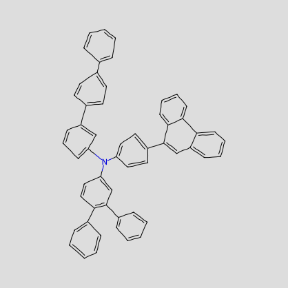 c1ccc(-c2ccc(-c3cccc(N(c4ccc(-c5cc6ccccc6c6ccccc56)cc4)c4ccc(-c5ccccc5)c(-c5ccccc5)c4)c3)cc2)cc1